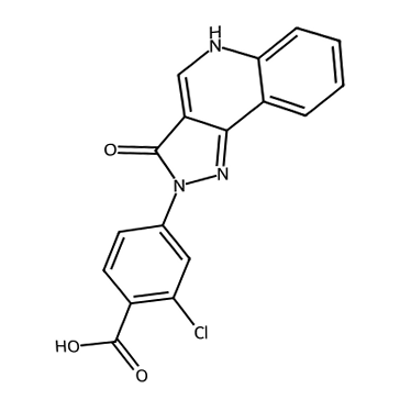 O=C(O)c1ccc(-n2nc3c4ccccc4[nH]cc-3c2=O)cc1Cl